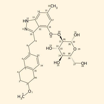 COC1CCc2cc(CCc3n[nH]c4cc(C)cc(OO[C@@H]5[C@@H](O)[C@H](O)[C@@H](CO)O[C@H]5O)c34)ccc2C1